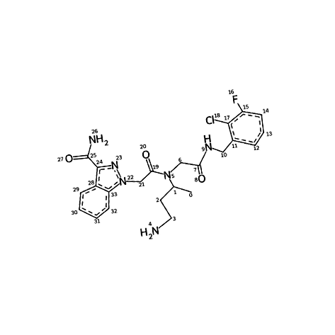 CC(CCN)N(CC(=O)NCc1cccc(F)c1Cl)C(=O)Cn1nc(C(N)=O)c2ccccc21